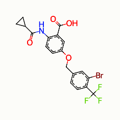 O=C(O)c1cc(OCc2ccc(C(F)(F)F)c(Br)c2)ccc1NC(=O)C1CC1